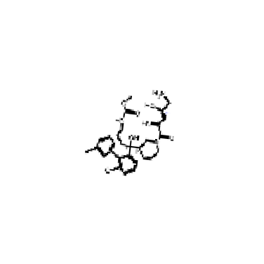 COC(=O)NCCC[C@@](O)(c1cccc(Cl)c1-c1cccc(C)c1)[C@@H]1CCCN(C(=O)C(=N)/C=C(\O)CN)C1